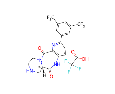 O=C(O)C(F)(F)F.O=C1Nc2ccc(-c3cc(C(F)(F)F)cc(C(F)(F)F)c3)nc2C(=O)N2CCNC[C@@H]12